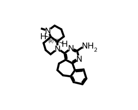 CN1CCC[C@@H]2[C@H]1CCCN2c1nc(N)nc2c1CCCc1ccccc1-2